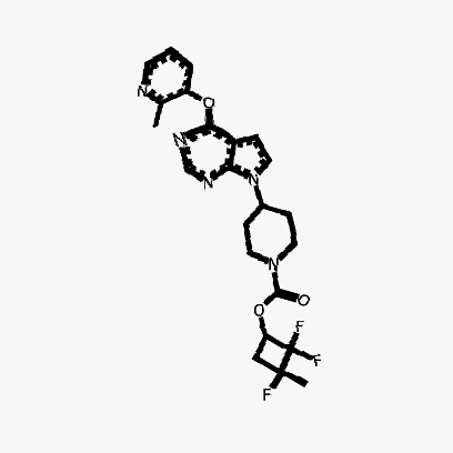 Cc1ncccc1Oc1ncnc2c1ccn2C1CCN(C(=O)OC2CC(C)(F)C2(F)F)CC1